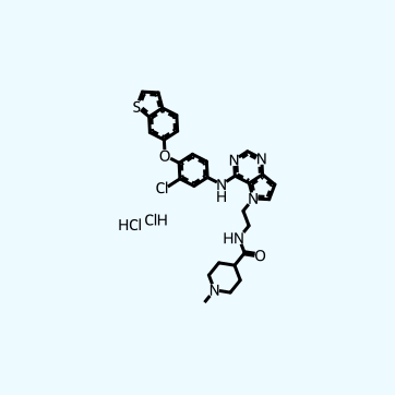 CN1CCC(C(=O)NCCn2ccc3ncnc(Nc4ccc(Oc5ccc6ccsc6c5)c(Cl)c4)c32)CC1.Cl.Cl